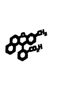 C=c1ccc2c(c1)Oc1ccc3ccccc3c1C=2c1ccccc1C(=O)O